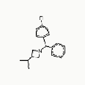 CC(C)C1CN(C(c2ccccc2)c2ccc(Cl)cc2)C1